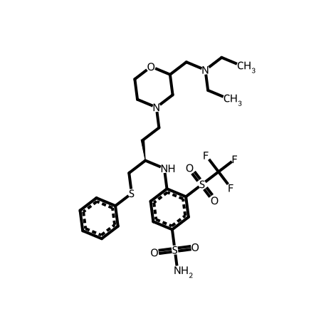 CCN(CC)CC1CN(CC[C@H](CSc2ccccc2)Nc2ccc(S(N)(=O)=O)cc2S(=O)(=O)C(F)(F)F)CCO1